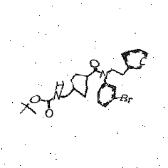 CC(C)(C)OC(=O)NCC1CCC(C(=O)N(CCc2ccccc2)c2cccc(Br)c2)CC1